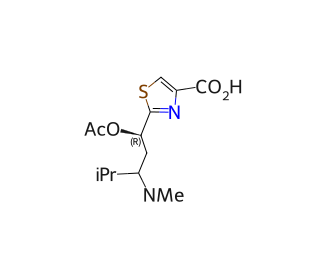 CNC(C[C@@H](OC(C)=O)c1nc(C(=O)O)cs1)C(C)C